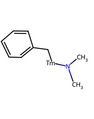 C[N](C)[Tm][CH2]c1ccccc1